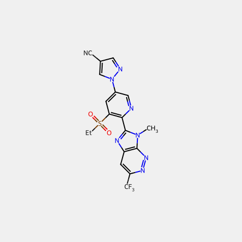 CCS(=O)(=O)c1cc(-n2cc(C#N)cn2)cnc1-c1nc2cc(C(F)(F)F)nnc2n1C